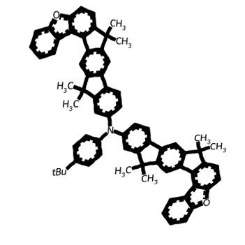 CC(C)(C)c1ccc(N(c2ccc3c(c2)C(C)(C)c2cc4c(cc2-3)C(C)(C)c2ccc3oc5ccccc5c3c2-4)c2ccc3c(c2)C(C)(C)c2cc4c(cc2-3)C(C)(C)c2ccc3oc5ccccc5c3c2-4)cc1